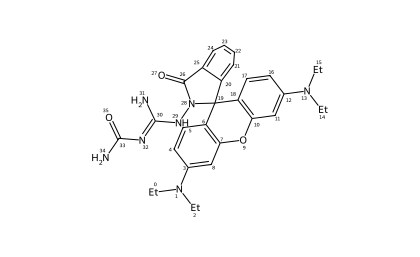 CCN(CC)c1ccc2c(c1)Oc1cc(N(CC)CC)ccc1C21c2ccccc2C(=O)N1N/C(N)=N/C(N)=O